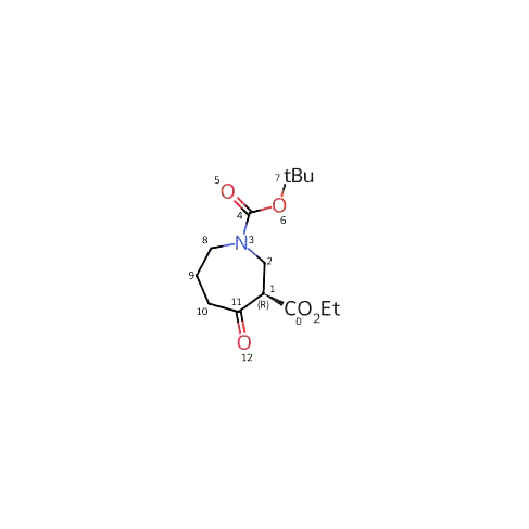 CCOC(=O)[C@@H]1CN(C(=O)OC(C)(C)C)CCCC1=O